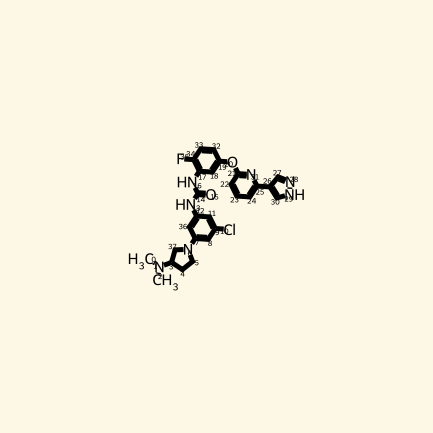 CN(C)C1CCN(c2cc(Cl)cc(NC(=O)Nc3cc(Oc4cccc(-c5cn[nH]c5)n4)ccc3F)c2)C1